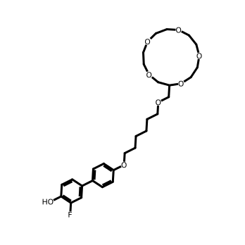 Oc1ccc(-c2ccc(OCCCCCCOCC3COCCOCCOCCOCCO3)cc2)cc1F